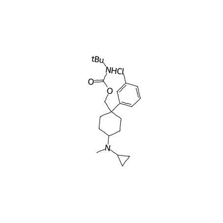 CN(C1CC1)C1CCC(COC(=O)NC(C)(C)C)(c2cccc(Cl)c2)CC1